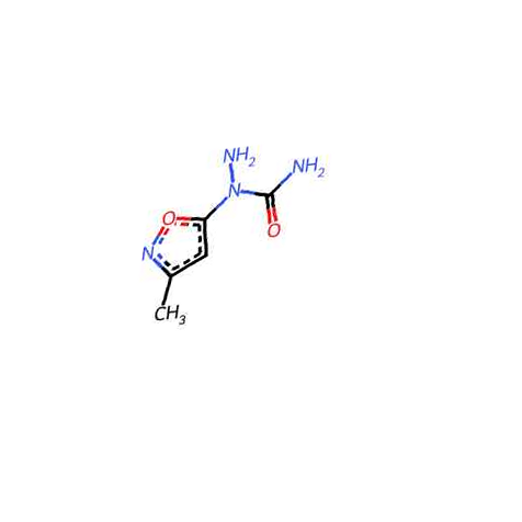 Cc1cc(N(N)C(N)=O)on1